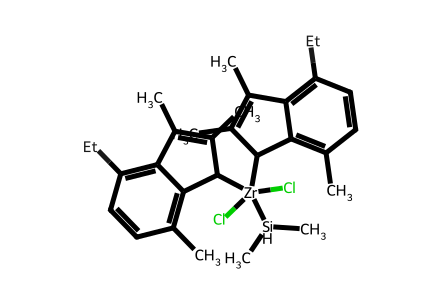 CCc1ccc(C)c2c1C(C)=C(C)[CH]2[Zr]([Cl])([Cl])([CH]1C(C)=C(C)c2c(CC)ccc(C)c21)[SiH](C)C